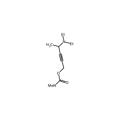 CCN(CC)C(C)C#CCOC(=O)NC